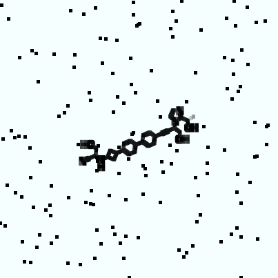 C[C@H](O)c1nccn1C(C#Cc1ccc(-c2ccc(C3CC(NC(C#N)CO)C3)cc2)cc1)CO